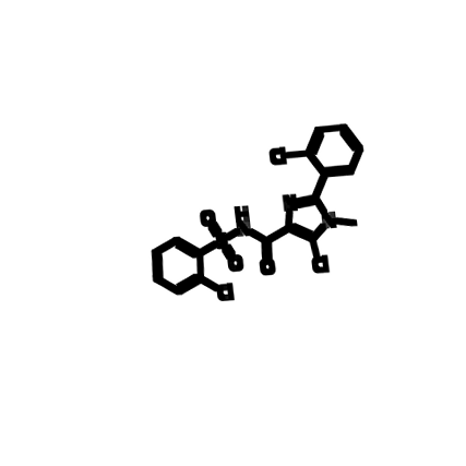 Cn1c(-c2ccccc2Cl)nc(C(=O)NS(=O)(=O)c2ccccc2Cl)c1Cl